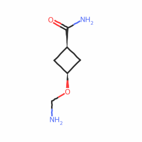 NCO[C@H]1C[C@@H](C(N)=O)C1